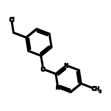 Cc1cnc(Oc2cccc(CCl)c2)nc1